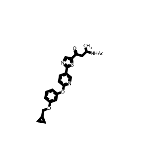 CC(=O)NC(C)CC(=O)c1cnc(-c2ccc(Oc3cccc(OCC4CC4)c3)nc2)s1